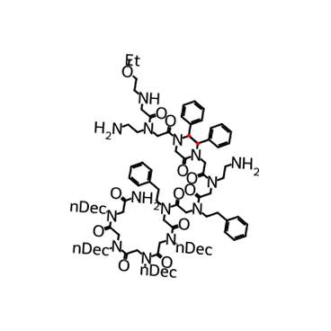 CCCCCCCCCCN(CC(N)=O)C(=O)CN(CCCCCCCCCC)C(=O)CN(CCCCCCCCCC)C(=O)CN(CCCCCCCCCC)C(=O)CN(CCc1ccccc1)C(=O)CN(CCc1ccccc1)C(=O)CN(CCN)C(=O)CN(CCc1ccccc1)C(=O)CN(CCc1ccccc1)C(=O)CN(CCN)C(=O)CNCCOCC